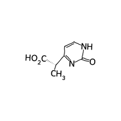 C[C@H](C(=O)O)c1cc[nH]c(=O)n1